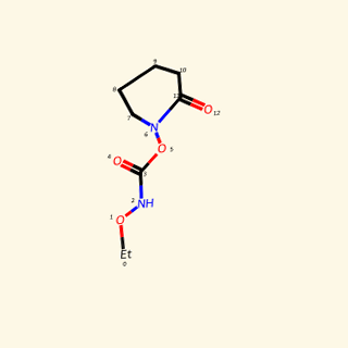 CCONC(=O)ON1CCCCC1=O